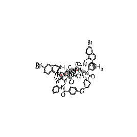 CN[C@@H](C)C(=O)N[C@H]1CN(C(=O)c2ccc(Oc3ccc(C(=O)N4C[C@H](NC(=O)[C@H](C)NC)C(=O)N(Cc5c(OC)ccc6cc(Br)ccc56)c5ccccc54)cc3)cc2)c2ccccc2N(Cc2c(OC)ccc3cc(Br)ccc23)C1=O